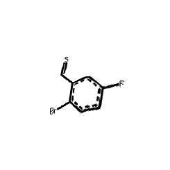 Fc1ccc(Br)c(C=S)c1